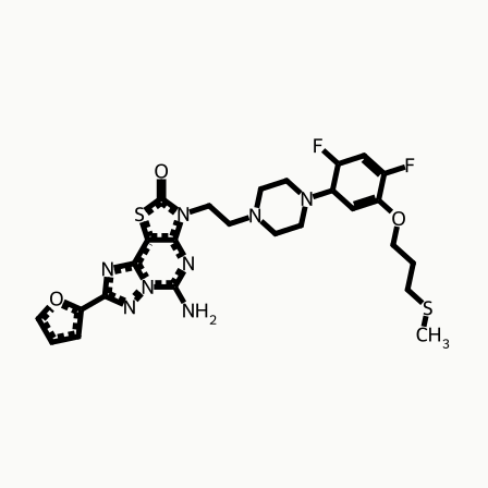 CSCCCOC1=CC(N2CCN(CCn3c(=O)sc4c3nc(N)n3nc(-c5ccco5)nc43)CC2)C(F)C=C1F